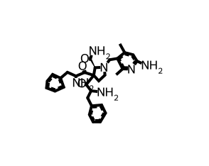 Cc1cc(N)nc(C)c1CN1CCC(C(=O)C(N)Cc2ccccc2)(C(=O)C(N)Cc2ccccc2)[C@H]1C(N)=O